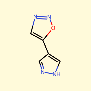 c1n[nH]cc1-c1cnno1